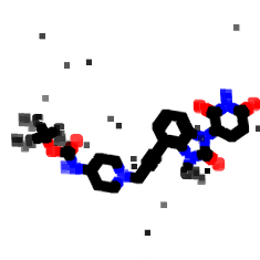 Cn1c(=O)n(C2CCC(=O)NC2=O)c2cccc(C#CCN3CCC(NC(=O)OC(C)(C)C)CC3)c21